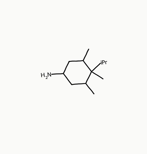 CC(C)C1(C)C(C)CC(N)CC1C